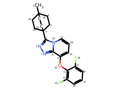 CC12CCC(c3nnc4c(Oc5c(F)cccc5F)cccn34)(CC1)CC2